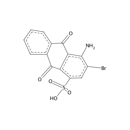 Nc1c(Br)cc(S(=O)(=O)O)c2c1C(=O)c1ccccc1C2=O